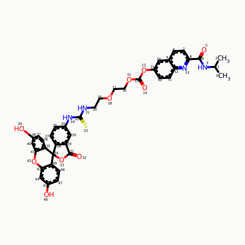 CC(C)NC(=O)c1ccc2cc(OC(=O)OCCOCCNC(=S)Nc3ccc4c(c3)C(=O)OC43c4ccc(O)cc4Oc4cc(O)ccc43)ccc2n1